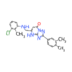 Cc1ccc(-c2nc3[nH]c(CNc4cccc(Cl)c4C)cc(=O)n3n2)cc1C